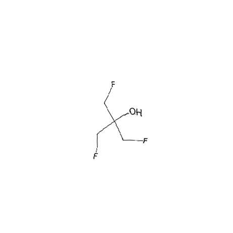 OC(CF)(CF)CF